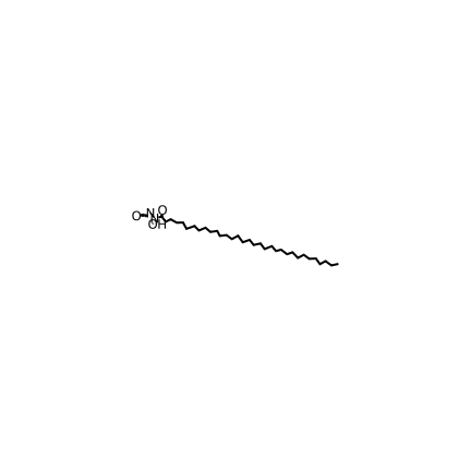 CCCCCCCCCCCCCCCCCCCCCCCCCCCCCCCCC(=O)N(O)N=C=O